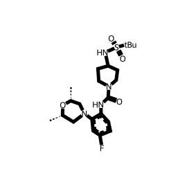 C[C@@H]1CN(c2cc(F)ccc2NC(=O)N2CCC(NS(=O)(=O)C(C)(C)C)CC2)C[C@H](C)O1